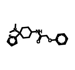 CN(C)C1(c2cccs2)CCC(NC(=O)COc2ccccc2)CC1